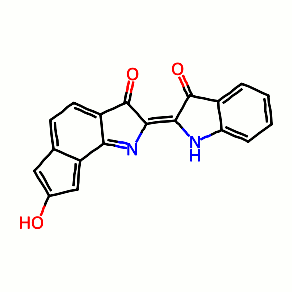 O=C1C(=C2N=c3c(ccc4c3=CC(O)=C4)C2=O)Nc2ccccc21